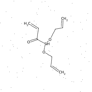 C=CCO[SiH](OCC=C)C(=O)C=C